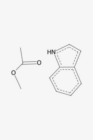 COC(C)=O.c1ccc2[nH]ccc2c1